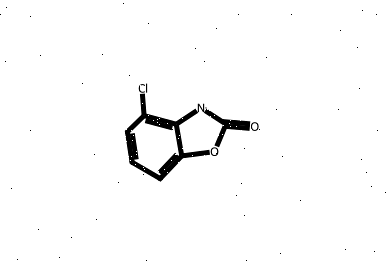 O=C1[N]c2c(Cl)cccc2O1